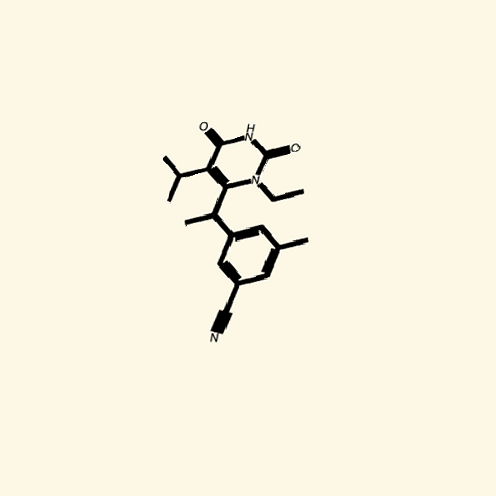 CCn1c(C(C)c2cc(C)cc(C#N)c2)c(C(C)C)c(=O)[nH]c1=O